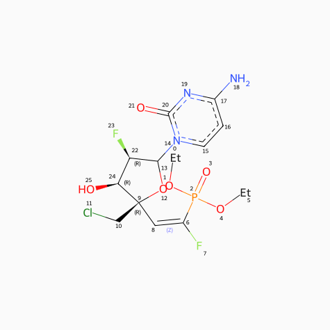 CCOP(=O)(OCC)/C(F)=C\[C@@]1(CCl)OC(n2ccc(N)nc2=O)[C@H](F)[C@@H]1O